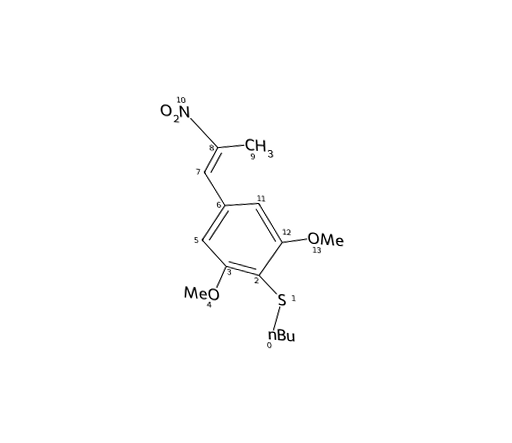 CCCCSc1c(OC)cc(/C=C(\C)[N+](=O)[O-])cc1OC